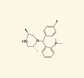 C[C@@H]1CN[C@@H](C)CN1C(c1ccc(F)cc1)c1ccccc1P(C)C